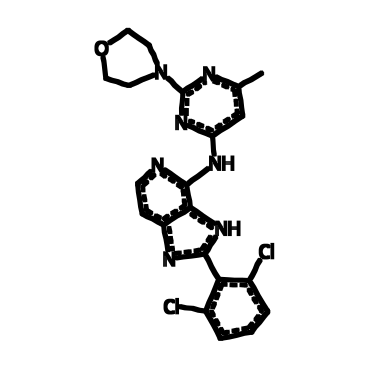 Cc1cc(Nc2nccc3nc(-c4c(Cl)cccc4Cl)[nH]c23)nc(N2CCOCC2)n1